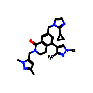 CCn1cc(-c2cc(Cn3ccnc3C3CC3)cc3c2CCN(Cc2cc(C)nn2C)C3=O)c(C(F)(F)F)n1